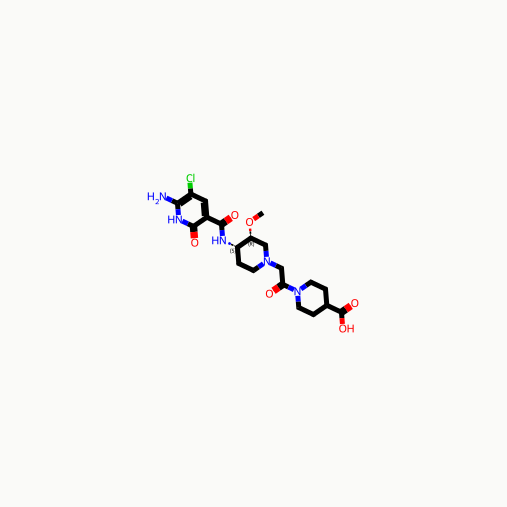 CO[C@@H]1CN(CC(=O)N2CCC(C(=O)O)CC2)CC[C@@H]1NC(=O)c1cc(Cl)c(N)[nH]c1=O